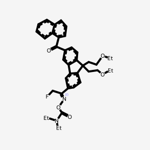 CCOCCC1(CCOCC)c2ccc(C(=O)c3cccc4ccccc34)cc2-c2cc(/C(CF)=N/OC(=O)N(CC)CC)ccc21